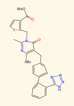 CCCCc1nc(C)n(Cc2sccc2C(=O)OC)c(=O)c1Cc1ccc(-c2ccccc2-c2nnn[nH]2)cc1